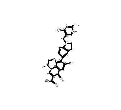 C[C@@H]1COc2c(-c3ccc4c(c3)CCN4Cc3cnc(N)nc3N)c(F)cc3c(=O)c(C(=O)O)cn1c23